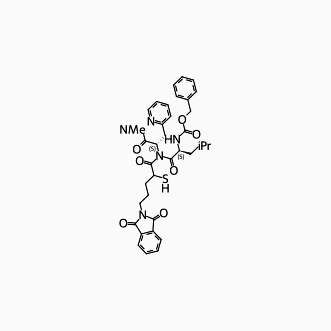 CNC(=O)[C@H](Cc1ccccn1)N(C(=O)C(S)CCCN1C(=O)c2ccccc2C1=O)C(=O)[C@H](CC(C)C)NC(=O)OCc1ccccc1